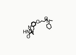 C=c1c(=O)[nH]c2n1Cc1cc(OCCCC(=O)N(CC)C3CCCCC3)ccc1N=2